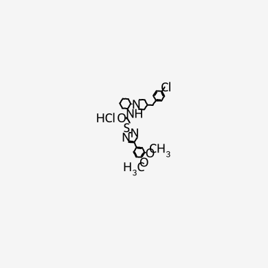 COc1ccc(-c2cnc(SCC(=O)N[C@@H]3CCCC[C@@H]3N3CCC(Cc4ccc(Cl)cc4)CC3)nc2)cc1OC.Cl